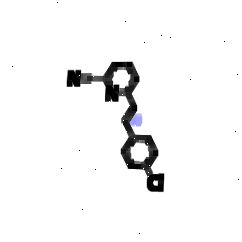 N#Cc1cccc(/C=C/c2ccc(Cl)cc2)n1